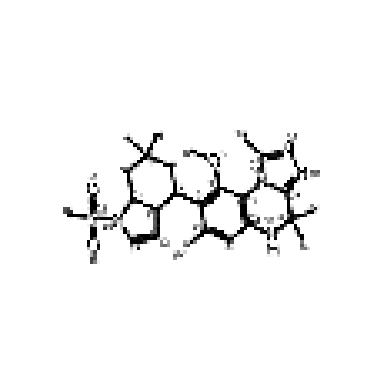 COc1c(C2CC(C)(C)CC3C2C=CN3S(C)(=O)=O)c(F)cc2c1-n1c(C)nnc1C(C)(C)N2